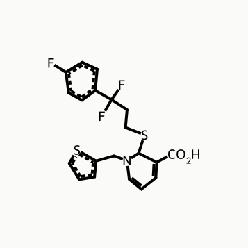 O=C(O)C1=CC=CN(Cc2cccs2)C1SCCC(F)(F)c1ccc(F)cc1